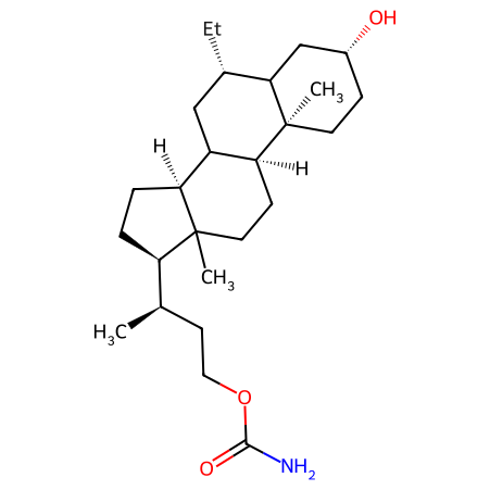 CC[C@H]1CC2[C@@H]3CC[C@H]([C@H](C)CCOC(N)=O)C3(C)CC[C@@H]2[C@]2(C)CC[C@@H](O)CC12